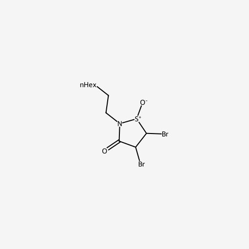 CCCCCCCCN1C(=O)C(Br)C(Br)[S+]1[O-]